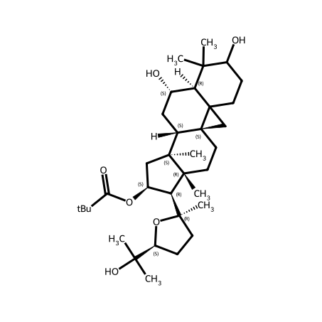 CC(C)(C)C(=O)O[C@H]1C[C@@]2(C)[C@@H]3C[C@H](O)[C@H]4C(C)(C)C(O)CCC45C[C@@]35CC[C@]2(C)[C@H]1[C@@]1(C)CC[C@@H](C(C)(C)O)O1